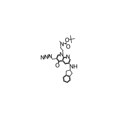 CN(CCn1cc(CN=[N+]=[N-])c(=O)c2cc(NC3Cc4ccccc4C3)cnc21)C(=O)OC(C)(C)C